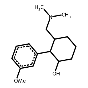 COc1cccc(C2C(O)CCCC2CN(C)C)c1